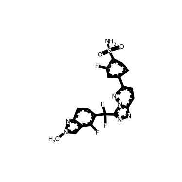 Cn1cc2c(F)c(C(F)(F)c3nnc4ccc(-c5ccc(S(N)(=O)=O)c(F)c5)nn34)ccc2n1